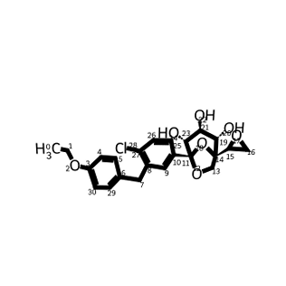 CCOc1ccc(Cc2cc([C@]34OC[C@](C5CO5)(O3)[C@@H](O)[C@H](O)[C@H]4O)ccc2Cl)cc1